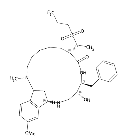 COc1ccc2c(c1)[C@@H]1CC2N(C)CCCCC[C@H](N(C)S(=O)(=O)CCC(F)(F)F)C(=O)N[C@@H](Cc2ccccc2)[C@H](O)CN1